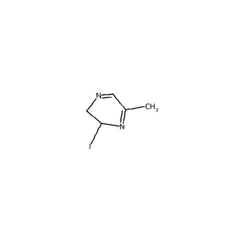 CC1=NC(I)CN=C1